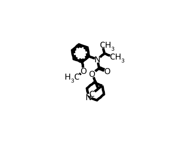 COc1ccccc1N(C(=O)OC1CN2CCC1CC2)C(C)C